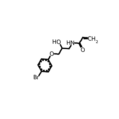 C=CC(=O)NCC(O)COc1ccc(Br)cc1